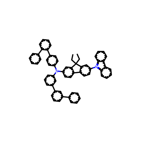 CCC1(CC)c2cc(N(c3ccc(-c4ccccc4-c4ccccc4)cc3)c3cccc(-c4cccc(-c5ccccc5)c4)c3)ccc2-c2ccc(-n3c4ccccc4c4ccccc43)cc21